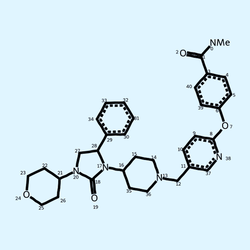 CNC(=O)c1ccc(Oc2ccc(CN3CCC(N4C(=O)N(C5CCOCC5)CC4c4ccccc4)CC3)cn2)cc1